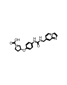 O=C(NCc1ccn2ccnc2c1)Nc1ccc(O[C@H]2CCN(C(=O)O)C2)cc1